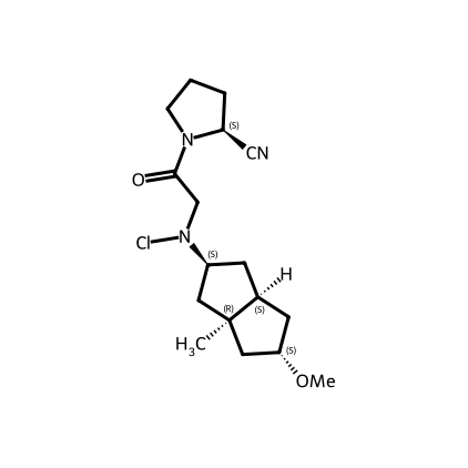 CO[C@H]1C[C@@H]2C[C@H](N(Cl)CC(=O)N3CCC[C@H]3C#N)C[C@]2(C)C1